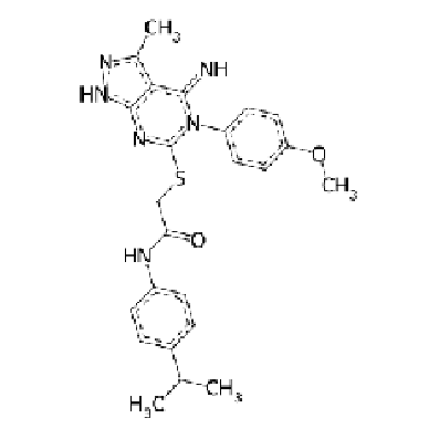 COc1ccc(-n2c(SCC(=O)Nc3ccc(C(C)C)cc3)nc3[nH]nc(C)c3c2=N)cc1